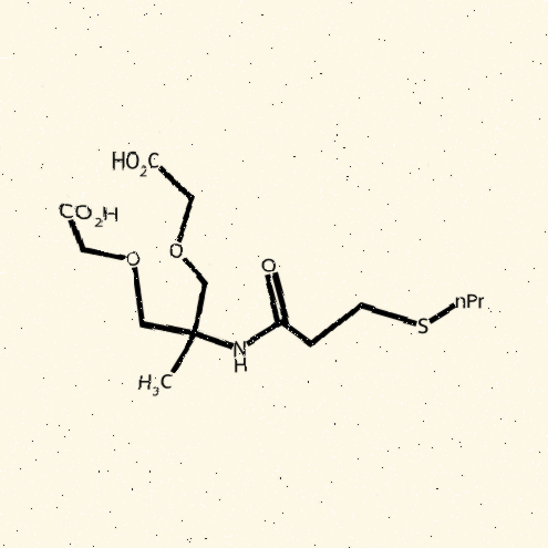 CCCSCCC(=O)NC(C)(COCC(=O)O)COCC(=O)O